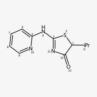 CC(C)C1SC(Nc2ccccn2)=NC1=O